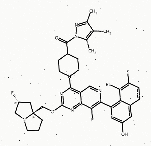 CCc1c(F)ccc2cc(O)cc(-c3ncc4c(N5CCC(C(=O)n6nc(C)c(C)c6C)CC5)nc(OC[C@@]56CCCN5C[C@H](F)C6)nc4c3F)c12